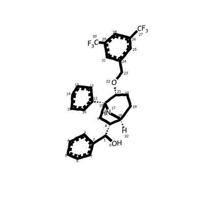 OC(c1ccccc1)[C@@H]1C[C@]2(c3ccccc3)N[C@H]1CC[C@H]2OCc1cc(C(F)(F)F)cc(C(F)(F)F)c1